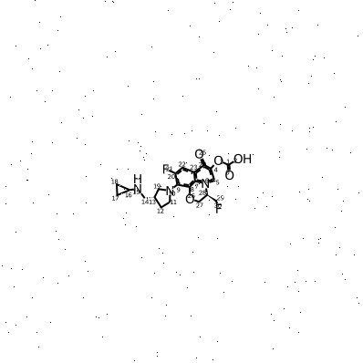 O=C(O)Oc1cn2c3c(c(N4CC[C@H](CNC5CC5)C4)c(F)cc3c1=O)OC[C@@H]2CF